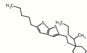 CCCCCc1cc2cc(CCC3(C(C)CCC)CCCCC3)sc2s1